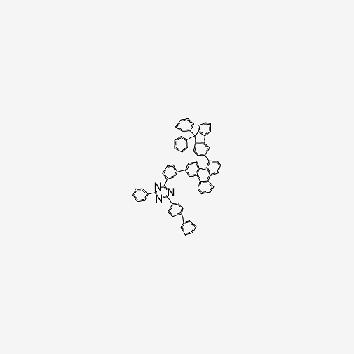 c1ccc(-c2ccc(-c3nc(-c4ccccc4)nc(-c4cccc(-c5ccc6c(c5)c5ccccc5c5cccc(-c7ccc8c(c7)-c7ccccc7C8(c7ccccc7)c7ccccc7)c56)c4)n3)cc2)cc1